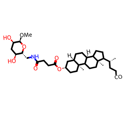 CO[C@H]1O[C@H](CNC(=O)CCC(=O)O[C@H]2CC[C@]3(C)C4CC[C@@]5(C)C(CCC5[C@H](C)CCC(=O)O)[C@@H]4CC[C@@H]3C2)[C@@H](O)C[C@H]1O